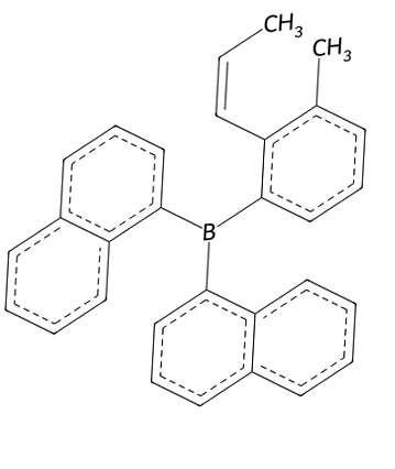 C/C=C\c1c(C)cccc1B(c1cccc2ccccc12)c1cccc2ccccc12